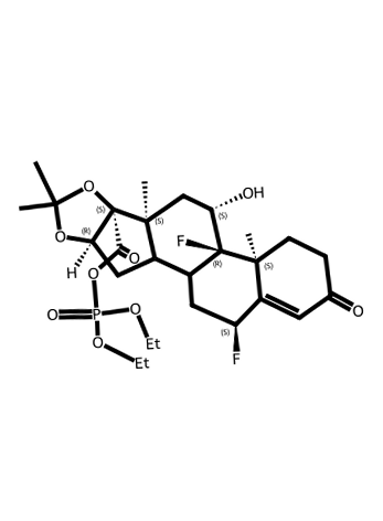 CCOP(=O)(OCC)OC(=O)[C@@]12OC(C)(C)O[C@@H]1CC1C3C[C@H](F)C4=CC(=O)CC[C@]4(C)[C@@]3(F)[C@@H](O)C[C@@]12C